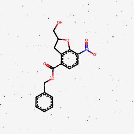 O=C(OCc1ccccc1)c1ccc([N+](=O)[O-])c2c1CC(CO)O2